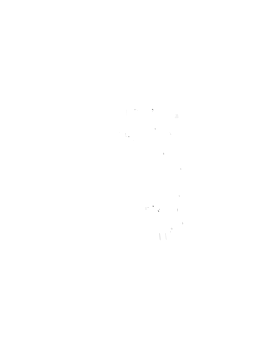 CC(C)c1cc(CCC[C@@H](N)CO)cc(OC(F)F)c1F